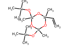 C=C[Si]1(C)O[Si](C)(O[Si](C)(C)C)O[Si](C)(O[Si](C)(C)C)O1